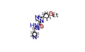 CCOc1ccc(-c2cncc(C(=O)N/N=C/c3ccncc3)n2)cc1